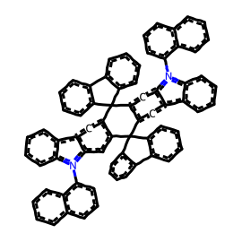 c1ccc2c(c1)-c1ccccc1C21c2cc3c4ccccc4n(-c4cccc5ccccc45)c3cc2C2(c3ccccc3-c3ccccc32)c2cc3c4ccccc4n(-c4cccc5ccccc45)c3cc21